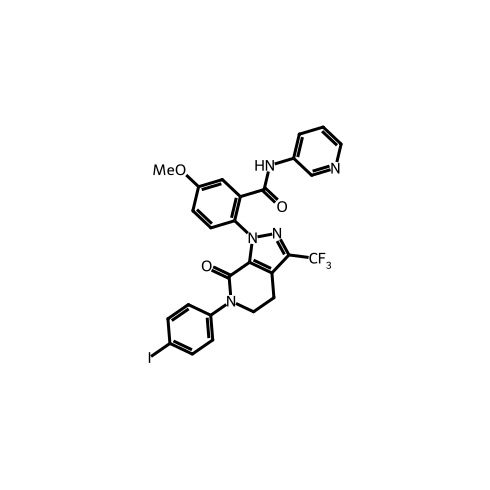 COc1ccc(-n2nc(C(F)(F)F)c3c2C(=O)N(c2ccc(I)cc2)CC3)c(C(=O)Nc2cccnc2)c1